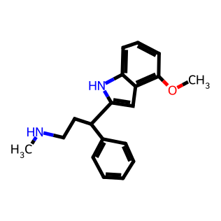 CNCCC(c1ccccc1)c1cc2c(OC)cccc2[nH]1